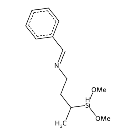 CO[SiH](OC)C(C)CCN=Cc1ccccc1